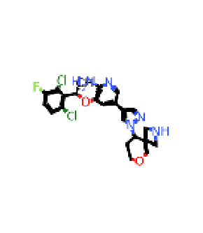 C[C@@H](Oc1cc(-c2cnn(C3CCOCC34CNC4)c2)cnc1N)c1c(Cl)ccc(F)c1Cl